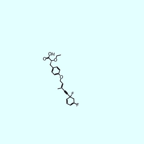 CCO[C@@H](Cc1ccc(OC/C=C(\C)C#CC2(F)C=CC=C(F)C2)cc1)C(=O)O